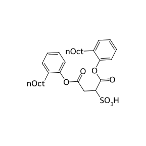 CCCCCCCCc1ccccc1OC(=O)CC(C(=O)Oc1ccccc1CCCCCCCC)S(=O)(=O)O